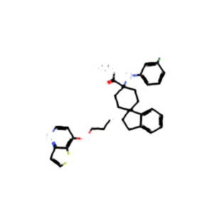 COC(=O)C1(Nc2cccc(Cl)c2)CCC2(CC1)c1ccccc1C[C@@H]2CCCOc1ccnc2ccsc12